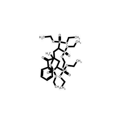 CCOP(=O)(OCC)C(CC(CC(P(=O)(OCC)OCC)P(=O)(OCC)OCC)C(=O)c1ccccc1)P(=O)(OCC)OCC